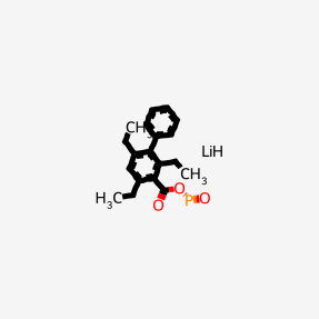 CCc1cc(CC)c(-c2ccccc2)c(CC)c1C(=O)OP=O.[LiH]